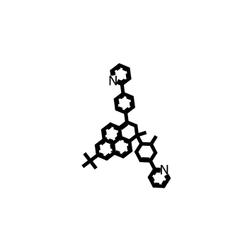 CC1CC(c2ccccn2)=CCC1C1(C)CC(c2ccc(-c3ccccn3)cc2)=c2ccc3cc(C(C)(C)C)cc4ccc1c2c43